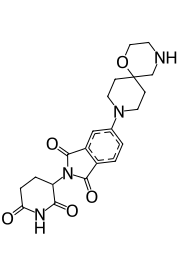 O=C1CCC(N2C(=O)c3ccc(N4CCC5(CC4)CNCCO5)cc3C2=O)C(=O)N1